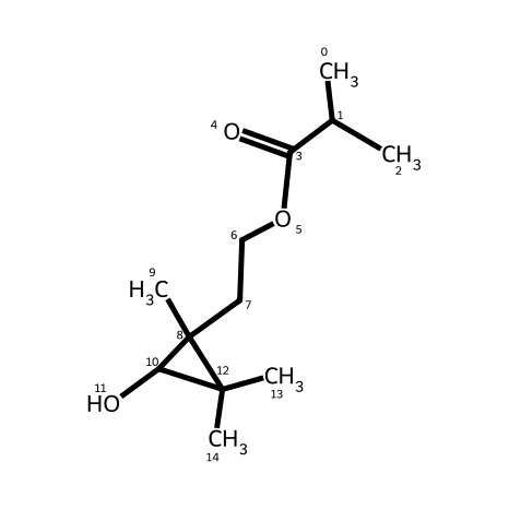 CC(C)C(=O)OCCC1(C)C(O)C1(C)C